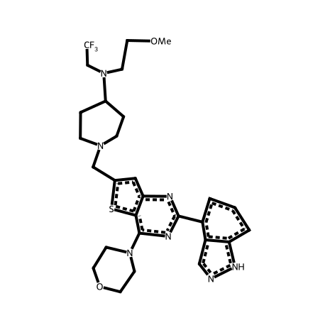 COCCN(CC(F)(F)F)C1CCN(Cc2cc3nc(-c4cccc5[nH]ncc45)nc(N4CCOCC4)c3s2)CC1